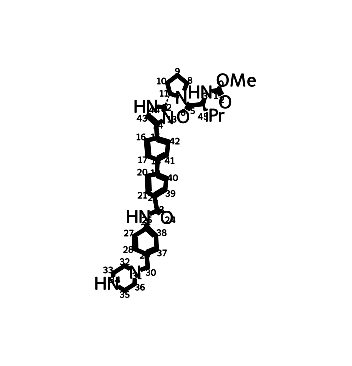 COC(=O)N[C@H](C(=O)N1CCC[C@H]1c1nc(-c2ccc(-c3ccc(C(=O)Nc4ccc(CN5CCNCC5)cc4)cc3)cc2)c[nH]1)C(C)C